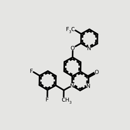 CC(c1ccc(F)cc1F)n1cnc(=O)c2cc(Oc3ncccc3C(F)(F)F)ccc21